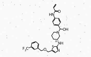 C=CC(=O)Nc1ccc(C(O)N2CCC[C@@H](Nc3ncc(COCc4cccc(C(F)(F)F)c4)s3)C2)cc1